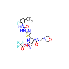 O=C(Nc1ncc(-c2cc(C(=O)NCCN3CCOCC3)c3cn[nH]c3n2)s1)Nc1cc(C(F)(F)F)ccc1F.O=C(O)C(F)(F)F